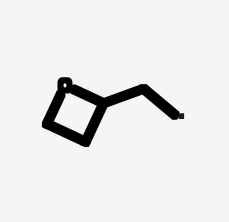 [CH2]CC1CCO1